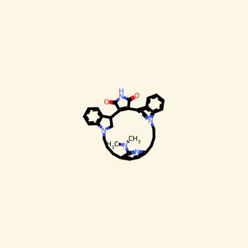 CN(C)c1nc2ccc1CCCN1CC(C3=C(C(=O)NC3=O)c3cn(c4ccccc34)CCC2)c2ccccc21